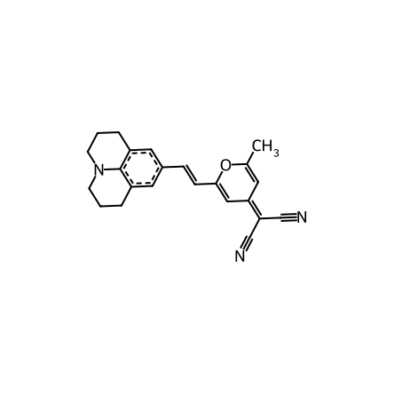 CC1=CC(=C(C#N)C#N)C=C(C=Cc2cc3c4c(c2)CCCN4CCC3)O1